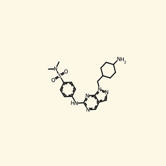 CN(C)S(=O)(=O)c1ccc(Nc2ncc3cnn(CC4CCC(N)CC4)c3n2)cc1